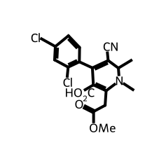 COC(=O)CC1=C(C(=O)O)C(c2ccc(Cl)cc2Cl)=C(C#N)C(C)N1C